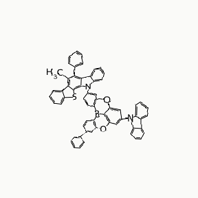 Cc1c(-c2ccccc2)c2c3ccccc3n(-c3ccc4c(c3)Oc3cc(-n5c6ccccc6c6ccccc65)cc5c3B4c3ccc(-c4ccccc4)cc3O5)c2c2sc3ccccc3c12